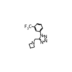 FC(F)(F)c1cccc(-n2nnnc2CN2CCC2)c1